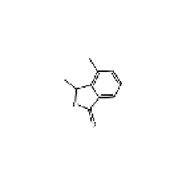 Cc1cccc2c1C(C)OC2=O